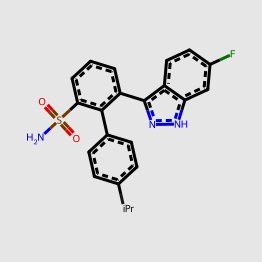 CC(C)c1ccc(-c2c(-c3n[nH]c4cc(F)ccc34)cccc2S(N)(=O)=O)cc1